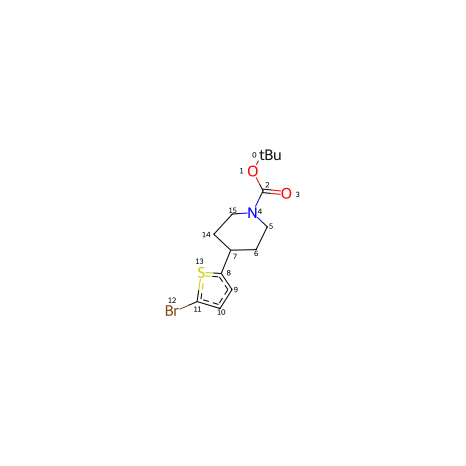 CC(C)(C)OC(=O)N1CCC(c2ccc(Br)s2)CC1